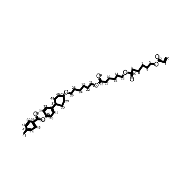 C=CC(=O)OCCCCCC(=O)OCCCCCC(=O)OCCCCCCOC1CCC(c2ccc(OC(=O)c3ccc(C)cc3)cc2)CC1